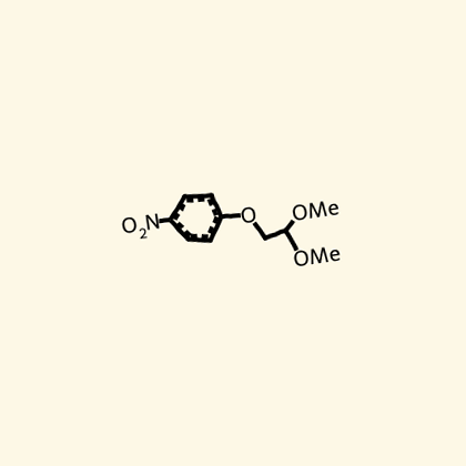 COC(COc1ccc([N+](=O)[O-])cc1)OC